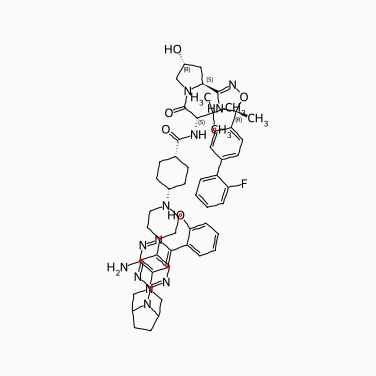 CC(C)(C)[C@H](NC(=O)[C@H]1CC[C@@H](N2CCC(c3cnc(N4C5CCC4CN(c4cc(-c6ccccc6O)nnc4N)C5)nc3)CC2)CC1)C(=O)N1C[C@H](O)C[C@H]1C1=NO[C@](C)(c2ccc(-c3ccccc3F)cc2)N1